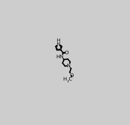 COCCN1CCC(NC(=O)c2cc[nH]c2)CC1